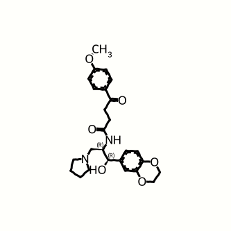 COc1ccc(C(=O)CCC(=O)N[C@H](CN2CCCC2)[C@H](O)c2ccc3c(c2)OCCO3)cc1